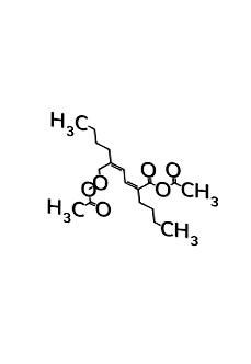 CCCCC(=CC=C(CCCC)C(=O)OC(C)=O)COOC(C)=O